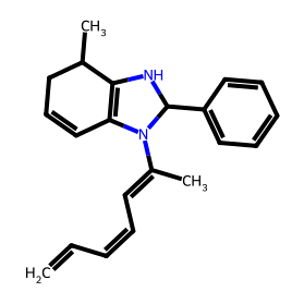 C=C/C=C\C=C(/C)N1C2=C(NC1c1ccccc1)C(C)CC=C2